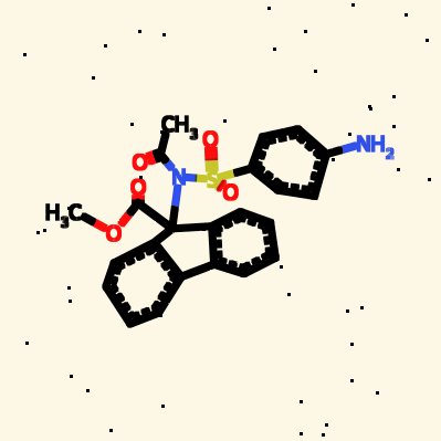 COC(=O)C1(N(C(C)=O)S(=O)(=O)c2ccc(N)cc2)c2ccccc2-c2ccccc21